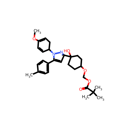 COC1=CCC(n2nc(C3(O)CCC(OCOC(=O)C(C)(C)C)CC3)cc2-c2ccc(C)cc2)C=C1